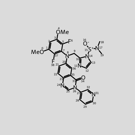 COc1cc(OC)c(F)c(N(Cc2nccn2[S+]([O-])N(C)C)c2ccc3ncn(-c4cccnc4)c(=O)c3c2)c1F